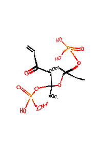 C=CC(=O)CC(CCCCCCCC)(OC(C)(CCCCCCCC)OP(=O)(O)O)OP(=O)(O)O